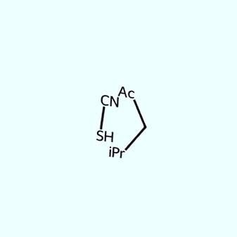 CC(=O)CC(C)C.N#CS